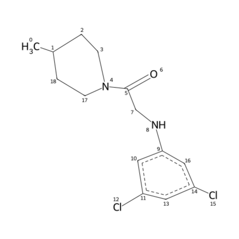 CC1CCN(C(=O)CNc2cc(Cl)cc(Cl)c2)CC1